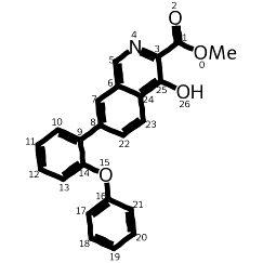 COC(=O)c1ncc2cc(-c3ccccc3Oc3ccccc3)ccc2c1O